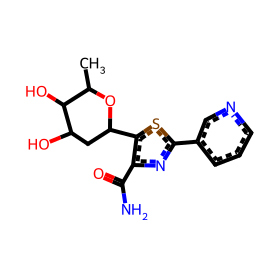 CC1OC(c2sc(-c3cccnc3)nc2C(N)=O)CC(O)C1O